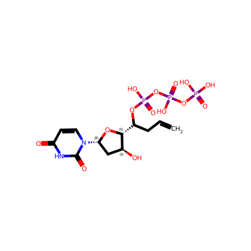 C=CCC(OP(=O)(O)OP(=O)(O)OP(=O)(O)O)[C@H]1O[C@@H](n2ccc(=O)[nH]c2=O)C[C@@H]1O